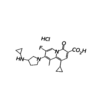 Cc1c(N2CCC(NC3CC3)C2)c(F)cn2c(=O)c(C(=O)O)cc(C3CC3)c12.Cl